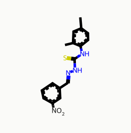 Cc1ccc(NC(=S)NN=Cc2cccc([N+](=O)[O-])c2)c(C)c1